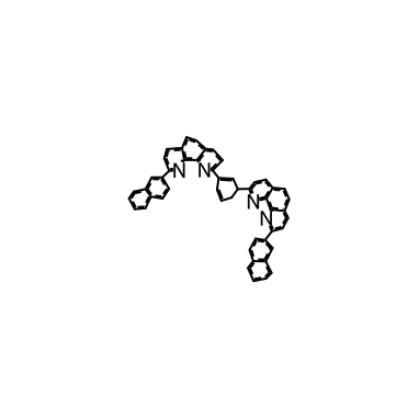 C1=CC(c2ccc3ccc4ccc(-c5ccc6ccccc6c5)nc4c3n2)=CC(c2ccc3ccc4ccc(-c5ccc6ccccc6c5)nc4c3n2)C1